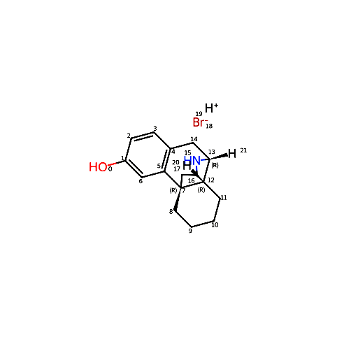 Oc1ccc2c(c1)[C@@]13CCCC[C@H]1[C@@H](C2)NCC3.[Br-].[H+]